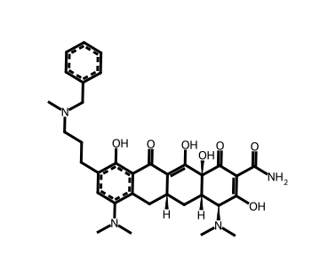 CN(CCCc1cc(N(C)C)c2c(c1O)C(=O)C1=C(O)[C@]3(O)C(=O)C(C(N)=O)=C(O)[C@@H](N(C)C)[C@@H]3C[C@@H]1C2)Cc1ccccc1